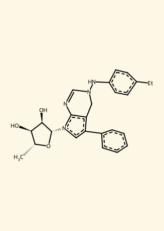 CCc1ccc(NN2C=Nc3c(c(-c4ccccc4)cn3[C@@H]3O[C@H](C)[C@@H](O)[C@H]3O)C2)cc1